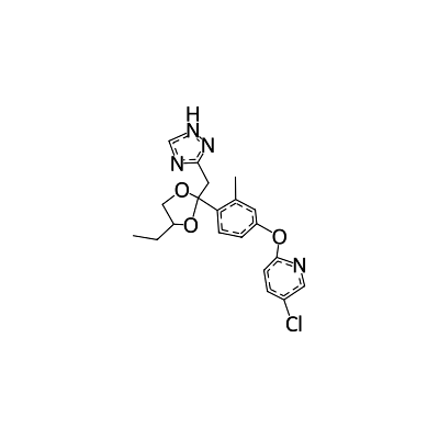 CCC1COC(Cc2nc[nH]n2)(c2ccc(Oc3ccc(Cl)cn3)cc2C)O1